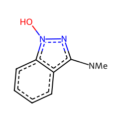 CNc1nn(O)c2ccccc12